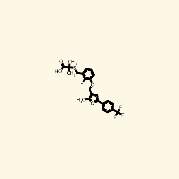 Cc1oc(-c2ccc(C(F)(F)F)cc2)cc1COc1cccc(CSC(C)(C)C(=O)O)c1F